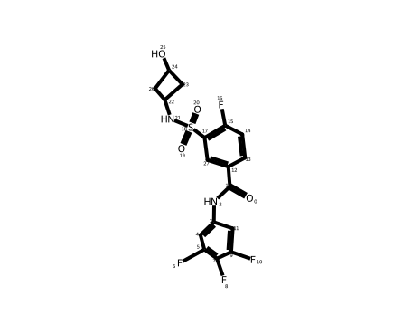 O=C(Nc1cc(F)c(F)c(F)c1)c1ccc(F)c(S(=O)(=O)NC2CC(O)C2)c1